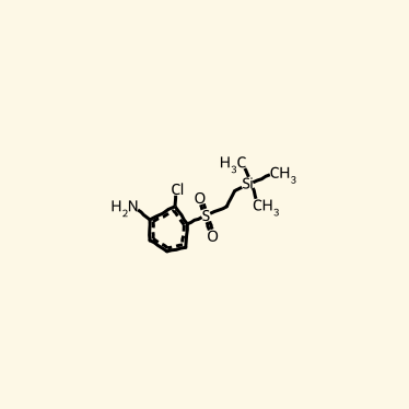 C[Si](C)(C)CCS(=O)(=O)c1cccc(N)c1Cl